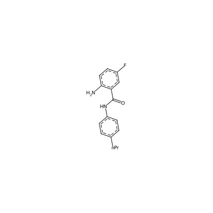 C[CH]Cc1ccc(NC(=O)c2cc(F)ccc2N)cc1